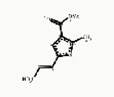 COC(=O)c1cc(C=CC(=O)O)sc1C